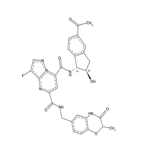 CC(=O)c1ccc2c(c1)C[C@@H](O)[C@@H]2NC(=O)c1cc(C(=O)NCc2ccc3c(c2)NC(=O)C(C)O3)nc2c(F)cnn12